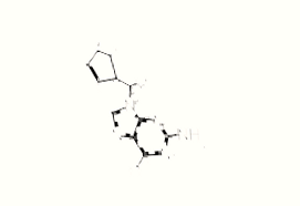 Nc1nc(O)c2ncn(C(O)C3C=CCC3)c2n1